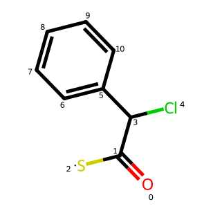 O=C([S])C(Cl)c1ccccc1